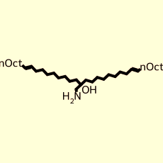 CCCCCCCCC=CCCCCCCCCC(O)(CN)CCCCCCCCC=CCCCCCCCC